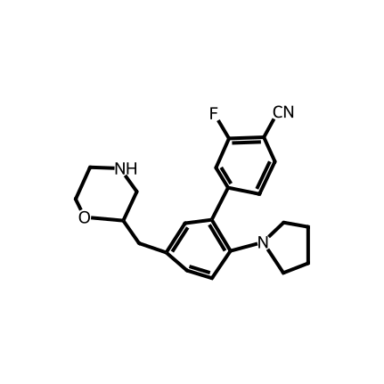 N#Cc1ccc(-c2cc(CC3CNCCO3)ccc2N2CCCC2)cc1F